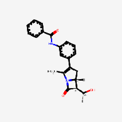 C[C@@H](O)[C@H]1C(=O)N2C(C(=O)O)=C(c3cccc(NC(=O)c4ccccc4)c3)C[C@H]12